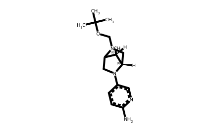 C[C@H]1C2CN(c3ccc(N)nc3)[C@H]1CN2COC(C)(C)C